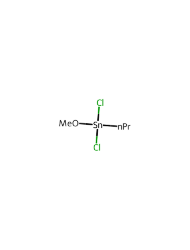 CC[CH2][Sn]([Cl])([Cl])[O]C